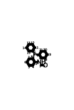 O=CNc1ccccc1P(c1ccccc1)c1ccccc1